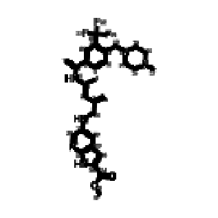 C=C(/C=C(\C)NC(=C)c1ccc(CN2CCN(C)CC2)c(C(F)(F)F)c1)CNc1cnc2[nH]c(C(=O)OC)cc2c1